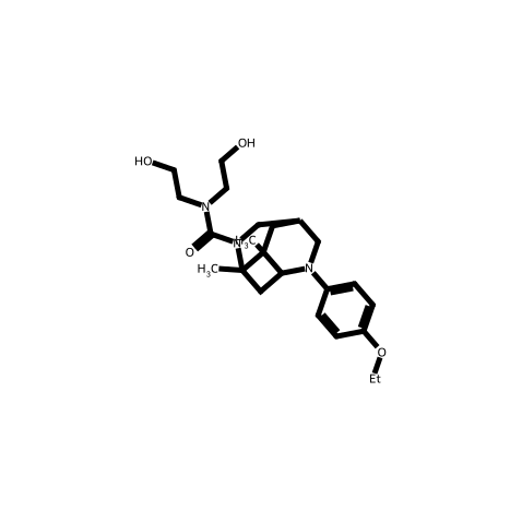 CCOc1ccc(N2CC3CN(C(=O)N(CCO)CCO)C4(C)CC2C4(C)C3)cc1